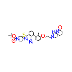 Cc1c(OCCCN2CCC3(CCCC(=O)N3)CC2)cccc1-c1cccc(-c2nc3c(s2)CN(C(=O)OC(C)(C)C)CC3)c1C#N